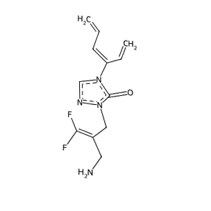 C=C/C=C(\C=C)n1cnn(CC(CN)=C(F)F)c1=O